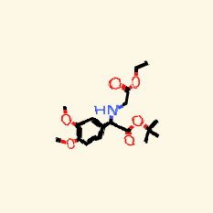 CCOC(=O)CNC(C(=O)OC(C)(C)C)c1ccc(OC)c(OC)c1